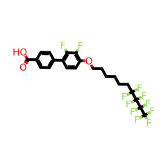 O=C(O)c1ccc(-c2ccc(OCCCCCCC(F)(F)C(F)(F)C(F)(F)C(F)(F)F)c(F)c2F)cc1